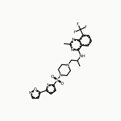 Cc1nc(NC(C)CN2CCN(S(=O)(=O)c3ccc(-c4ccno4)s3)CC2)c2cccc(C(F)(F)F)c2n1